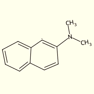 CN(C)c1[c]c2ccccc2cc1